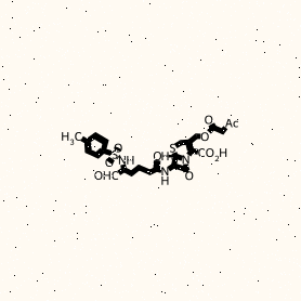 CC(=O)CC(=O)OCC1=C(C(=O)O)N2C(=O)C(NC(=O)CCCC(C=O)NS(=O)(=O)c3ccc(C)cc3)[C@@H]2SC1